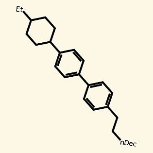 CCCCCCCCCCCCc1ccc(-c2ccc(C3CCC(CC)CC3)cc2)cc1